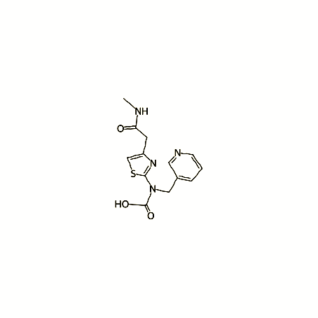 CNC(=O)Cc1csc(N(Cc2cccnc2)C(=O)O)n1